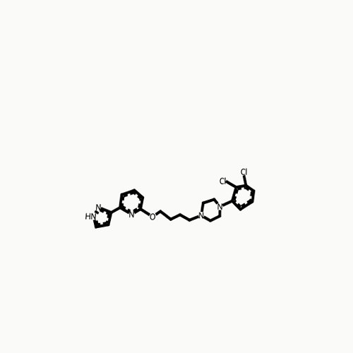 Clc1cccc(N2CCN(CCCCOc3cccc(-c4cc[nH]n4)n3)CC2)c1Cl